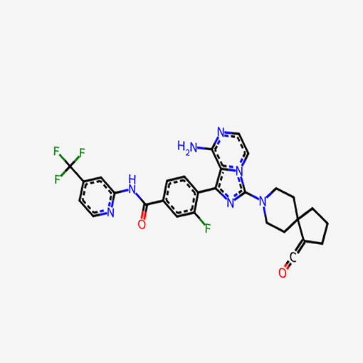 Nc1nccn2c(N3CCC4(CCCC4=C=O)CC3)nc(-c3ccc(C(=O)Nc4cc(C(F)(F)F)ccn4)cc3F)c12